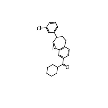 O=C(c1ccc2c(c1)N=CC(c1cccc(Cl)c1)CC2)C1CCCCC1